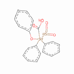 O=C(O)[SH](Oc1ccccc1)(c1ccccc1)(c1ccccc1)[SH](=O)=O